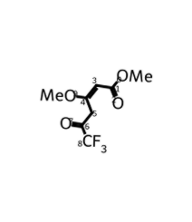 COC(=O)C=C(CC(=O)C(F)(F)F)OC